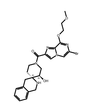 COCCOc1nc(Br)cn2cc(C(=O)N3CC[C@]4(Cc5ccccc5CN4)[C@H](O)C3)nc12